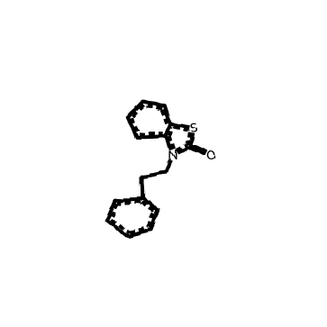 O=c1sc2ccccc2n1CCc1ccccc1